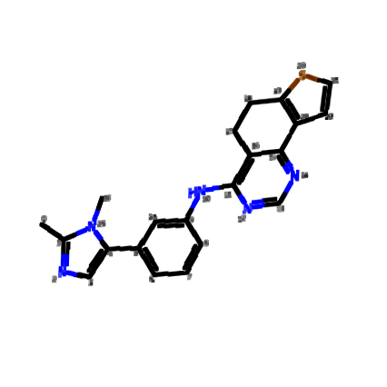 Cc1ncc(-c2cccc(Nc3ncnc4c3CCc3sccc3-4)c2)n1C